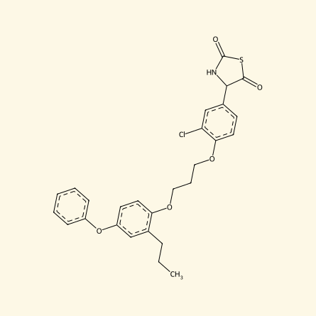 CCCc1cc(Oc2ccccc2)ccc1OCCCOc1ccc(C2NC(=O)SC2=O)cc1Cl